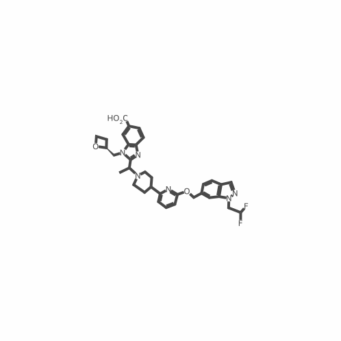 CC(c1nc2ccc(C(=O)O)cc2n1C[C@@H]1CCO1)N1CCC(c2cccc(OCc3ccc4cnn(CC(F)F)c4c3)n2)CC1